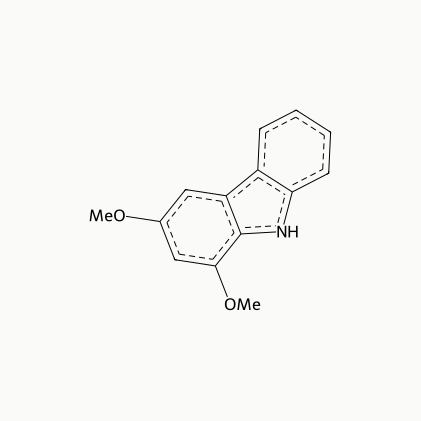 COc1cc(OC)c2[nH]c3ccccc3c2c1